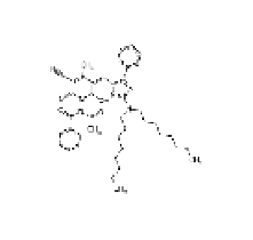 CCCCCCCCN(CCCCCCCC)c1nc(-c2ccccc2)c(/C=C2/C(C)=C(C#N)C(=O)N(N(C(C)=O)C(=O)c3ccccc3)C2O)s1